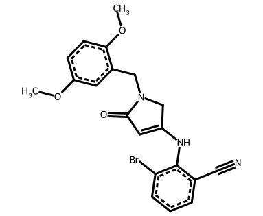 COc1ccc(OC)c(CN2CC(Nc3c(Br)cccc3C#N)=CC2=O)c1